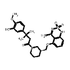 COc1ccc(C(C)(C)CC(=O)N2CCC[C@H](COc3cccc4c3C(N)=NS(=O)(=O)N4)C2)cc1O